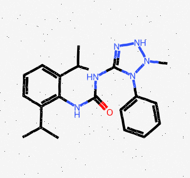 CC(C)c1cccc(C(C)C)c1NC(=O)NC1=NNN(C)N1c1ccccc1